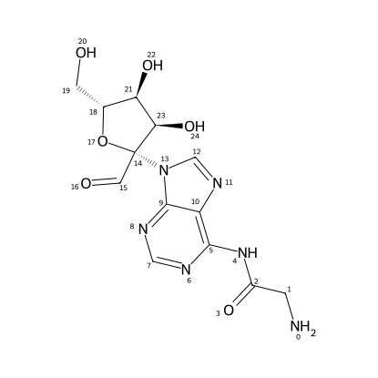 NCC(=O)Nc1ncnc2c1ncn2[C@]1(C=O)O[C@H](CO)[C@@H](O)[C@H]1O